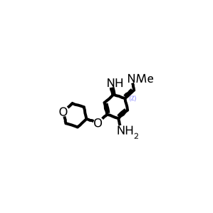 CN/C=C1/C=C(N)C(OC2CCOCC2)=CC1=N